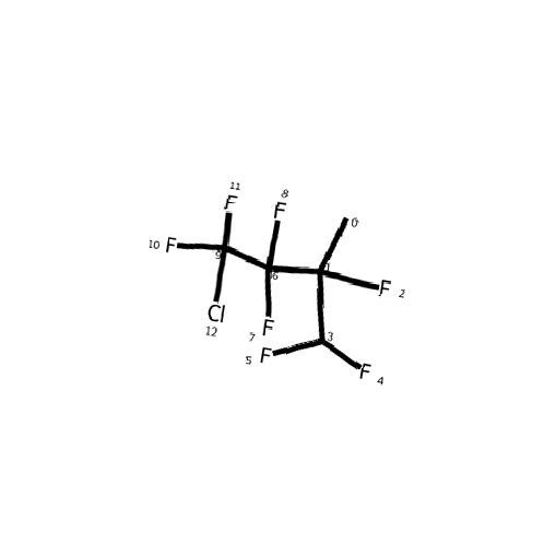 CC(F)(C(F)F)C(F)(F)C(F)(F)Cl